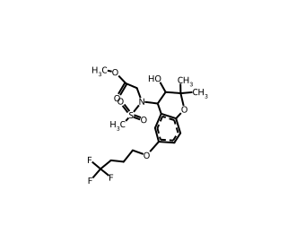 COC(=O)CN(C1c2cc(OCCCC(F)(F)F)ccc2OC(C)(C)C1O)S(C)(=O)=O